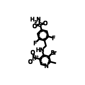 Cc1ncc([N+](=O)[O-])c(NCc2c(F)cc(S(N)(=O)=O)cc2F)c1Br